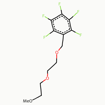 COCCOCCOCc1c(F)c(F)c(F)c(F)c1F